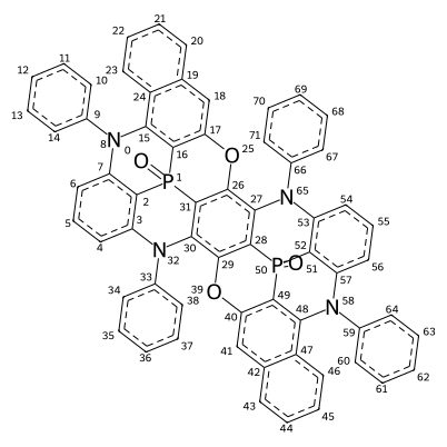 O=P12c3c4cccc3N(c3ccccc3)c3c1c(cc1ccccc31)Oc1c3c5c(c(c12)N4c1ccccc1)Oc1cc2ccccc2c2c1P5(=O)c1c(cccc1N2c1ccccc1)N3c1ccccc1